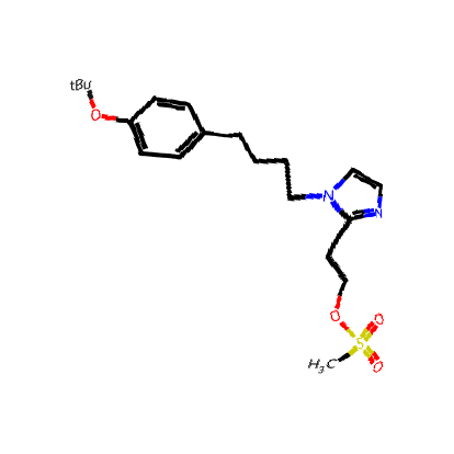 CC(C)(C)Oc1ccc(CCCCn2ccnc2CCOS(C)(=O)=O)cc1